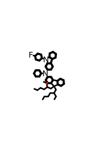 CCCCC(CC)CC1(CC(CC)CCCC)c2ccccc2-c2cc(N(c3ccccc3)c3ccc4c5ccccc5n(-c5ccc(F)cc5)c4c3)ccc21